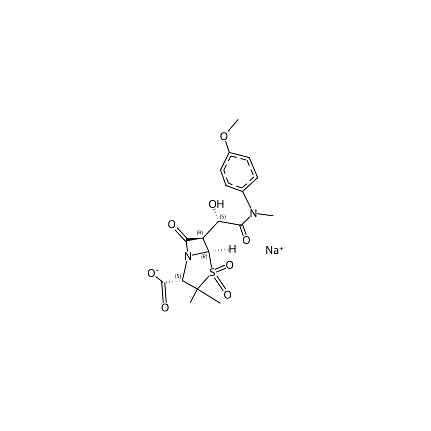 COc1ccc(N(C)C(=O)[C@@H](O)[C@@H]2C(=O)N3[C@@H](C(=O)[O-])C(C)(C)S(=O)(=O)[C@H]23)cc1.[Na+]